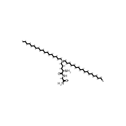 CCCCCCCCCCCCCCCCCCN(CCCCCCCCCCCCCCCCCC)CCC[C@H](N)C(=O)NCC(N)=O